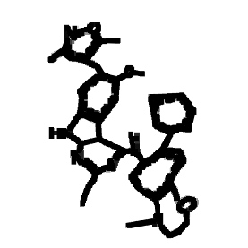 COc1cc2c(cc1-c1c(C)noc1C)NC1N=C(C)N=C(Nc3cc4c(cc3-c3ccccc3)OCCN4C)C21